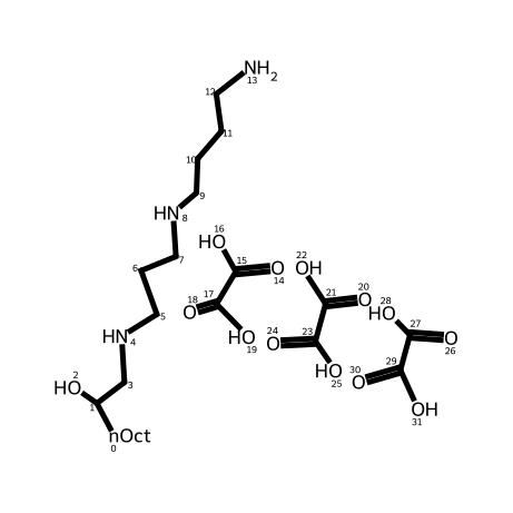 CCCCCCCCC(O)CNCCCNCCCCN.O=C(O)C(=O)O.O=C(O)C(=O)O.O=C(O)C(=O)O